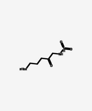 CCCCCCCCCC(=O)CN[SH](=O)=O